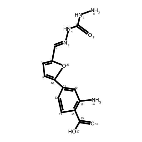 NNC(=O)NN=Cc1ccc(-c2ccc(C(=O)O)c(N)c2)o1